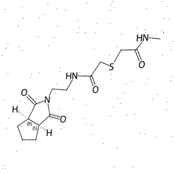 CNC(=O)CSCC(=O)NCCN1C(=O)[C@H]2CCC[C@H]2C1=O